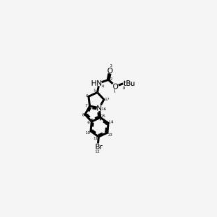 CC(C)(C)OC(=O)NC1Cc2cc3cc(Br)ccc3n2C1